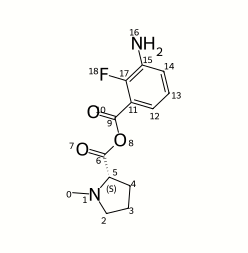 CN1CCC[C@H]1C(=O)OC(=O)c1cccc(N)c1F